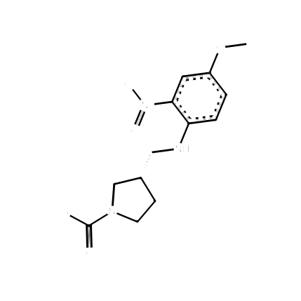 COc1ccc(NC[C@@H]2CCN(C(=O)O)C2)c([N+](=O)[O-])c1